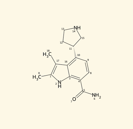 Cc1[nH]c2c(C(N)=O)ccc([C@@H]3CCNC3)c2c1C